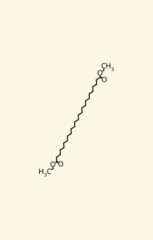 CCOC(=O)CCCCCCCCCCCCCCCCCCCCCCCC(=O)OCC